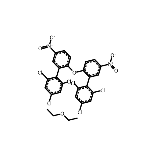 CCOCC.O=[N+]([O-])c1ccc(Oc2ccc([N+](=O)[O-])cc2-c2c(Cl)cc(Cl)cc2Cl)c(-c2c(Cl)cc(Cl)cc2Cl)c1